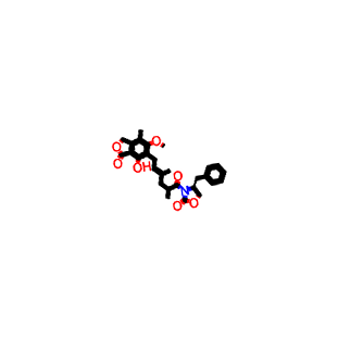 COc1c(C)c2c(c(O)c1C/C=C(\C)CC(C)C(=O)N1C(=O)OC[C@@H]1Cc1ccccc1)C(=O)OC2